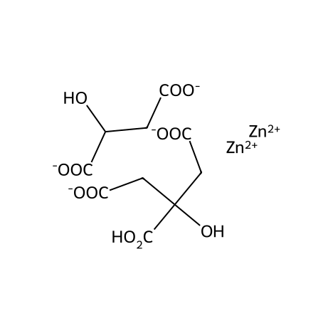 O=C([O-])CC(O)(CC(=O)[O-])C(=O)O.O=C([O-])CC(O)C(=O)[O-].[Zn+2].[Zn+2]